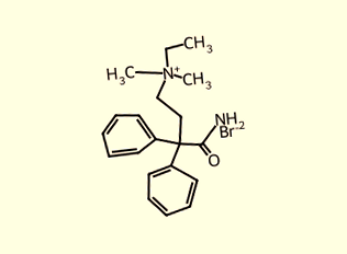 CC[N+](C)(C)CCC(C(N)=O)(c1ccccc1)c1ccccc1.[Br-]